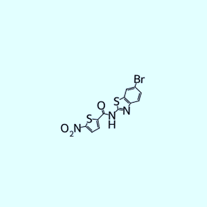 O=C(Nc1nc2ccc(Br)cc2s1)c1ccc([N+](=O)[O-])s1